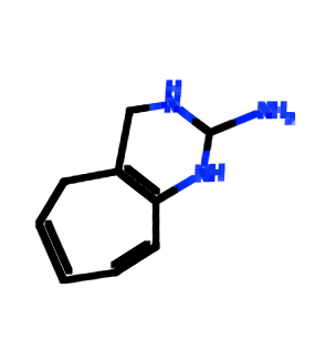 NC1NCC2=C(C=CC=CC2)N1